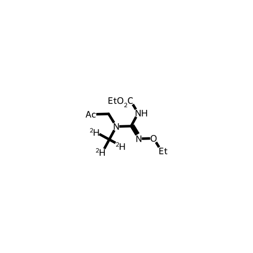 [2H]C([2H])([2H])N(CC(C)=O)/C(=N/OCC)NC(=O)OCC